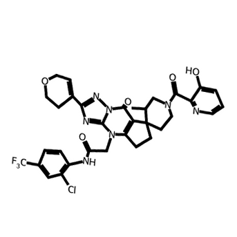 CC1CN(C(=O)c2ncccc2O)CCC12CCc1c2c(=O)n2nc(C3=CCOCC3)nc2n1CC(=O)Nc1ccc(C(F)(F)F)cc1Cl